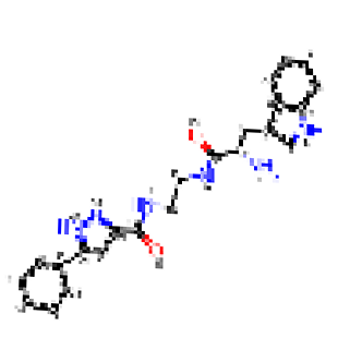 N[C@@H](Cc1c[nH]c2ccccc12)C(=O)NCCNC(=O)c1cc(-c2ccccc2)[nH]n1